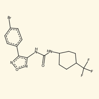 O=C(Nc1nonc1-c1ccc(Br)cc1)NC1CCC(C(F)(F)F)CC1